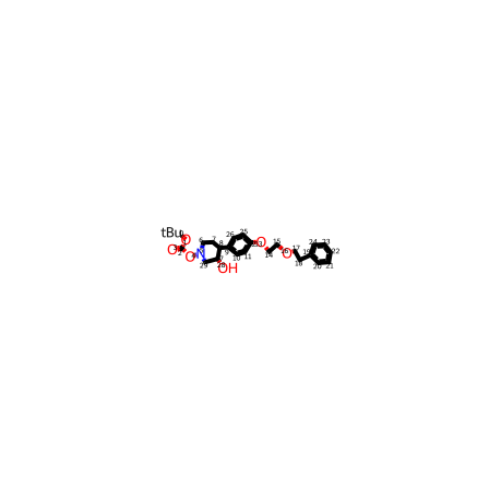 CC(C)(C)OC(=O)ON1CCC(c2ccc(OCCOCCc3ccccc3)cc2)C(O)C1